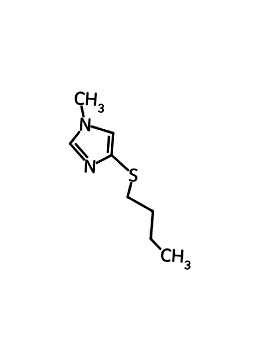 CCCCSc1cn(C)cn1